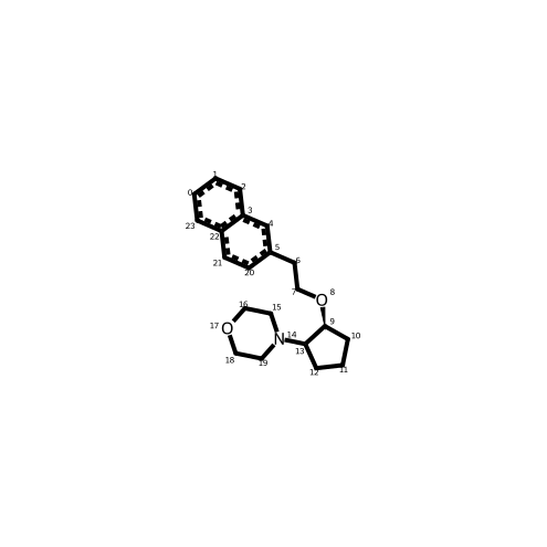 c1ccc2cc(CCO[C@H]3CCCC3N3CCOCC3)ccc2c1